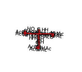 CC(=O)N[C@H]1[C@H](OCCCCC(=O)NCCCNC(=O)CCOCC(COCCC(=O)NCCCNC(=O)CCCCO[C@@H]2O[C@H](COC(C)=O)[C@H](OC(C)=O)[C@H](OC(C)=O)[C@H]2NC(C)=O)(COCCC(=O)NCCCNC(=O)CCCCO[C@@H]2O[C@H](COC(C)=O)[C@H](OC(C)=O)[C@H](OC(C)=O)[C@H]2NC(C)=O)NC(=O)CCCC(=O)O)O[C@H](COC(C)=O)[C@H](OC(C)=O)[C@@H]1OC(C)=O